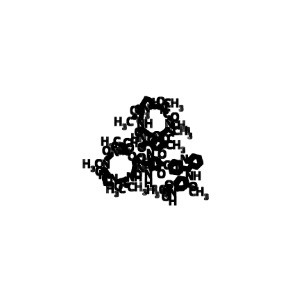 COc1cc(NS(C)(=O)=O)ccc1Nc1c2ccccc2nc2ccccc12.Cc1c2oc3c(C)ccc(C(=O)N[C@@H]4C(=O)N[C@H](C(C)C)C(=O)N5CCC[C@H]5C(=O)N(C)CC(=O)N(C)[C@@H](C(C)C)C(=O)O[C@@H]4C)c3nc-2c(C(=O)N[C@@H]2C(=O)N[C@H](C(C)C)C(=O)N3CCC[C@H]3C(=O)N(C)CC(=O)N(C)[C@@H](C(C)C)C(=O)O[C@@H]2C)c(N)c1=O